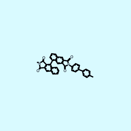 Cc1ccc(-c2ccc(N3C(=O)c4cc5cccc(-c6c7c(cc8ccccc68)C(=O)N(C)C7=O)c5cc4C3=O)cc2)cc1